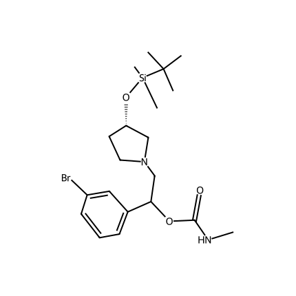 CNC(=O)OC(CN1CC[C@H](O[Si](C)(C)C(C)(C)C)C1)c1cccc(Br)c1